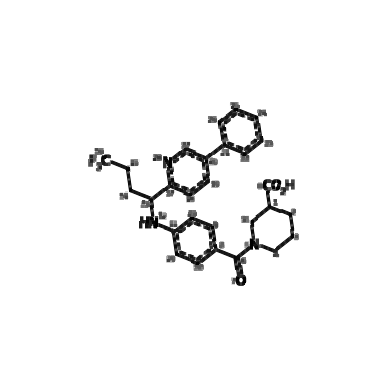 O=C(O)C1CCCN(C(=O)c2ccc(NC(CCC(F)(F)F)c3ccc(-c4ccccc4)cn3)cc2)C1